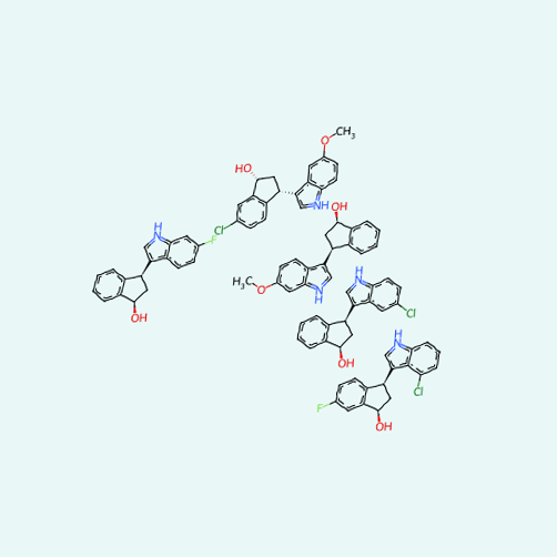 COc1ccc2[nH]cc([C@H]3C[C@@H](O)c4cc(Cl)ccc43)c2c1.COc1ccc2c([C@H]3C[C@@H](O)c4ccccc43)c[nH]c2c1.O[C@@H]1C[C@H](c2c[nH]c3cc(F)ccc23)c2ccccc21.O[C@@H]1C[C@H](c2c[nH]c3ccc(Cl)cc23)c2ccccc21.O[C@@H]1C[C@H](c2c[nH]c3cccc(Cl)c23)c2ccc(F)cc21